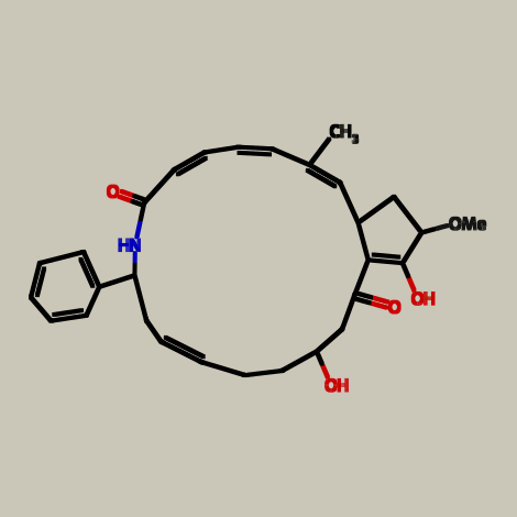 COC1CC2C=C(C)C=CC=CC(=O)NC(c3ccccc3)CC=CCCC(O)CC(=O)C2=C1O